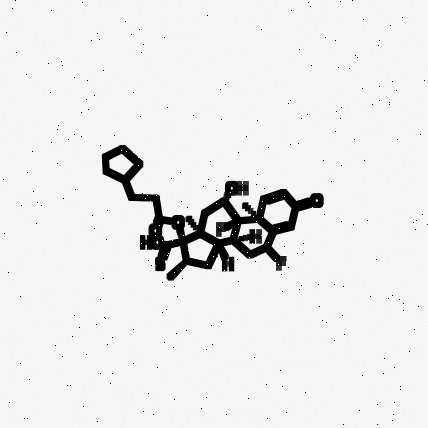 C[C@@H]1C[C@H]2[C@@H]3CC(F)C4=CC(=O)C=C[C@]4(C)[C@@]3(F)[C@@H](O)C[C@]2(C)[C@@]1(OC(=O)CCC1CCCC1)C(O)=S